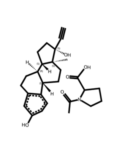 C#C[C@]1(O)CC[C@H]2[C@@H]3CCc4cc(O)ccc4[C@H]3CC[C@@]21C.CC(=O)N1CCCC1C(=O)O